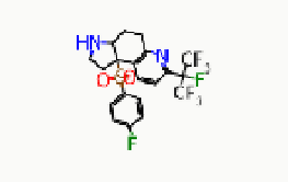 O=S(=O)(c1ccc(F)cc1)C12CCNC1CCc1nc(C(F)(C(F)(F)F)C(F)(F)F)ccc12